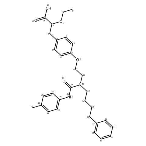 CCOC(Cc1ccc(OCCN(CCCCc2ccccc2)C(=O)Nc2ccc(C)cc2)cc1)C(=O)O